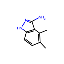 Cc1ccc2[nH]nc(N)c2c1C